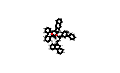 c1ccc2cc3c(cc2c1)c1ccccc1n3-c1cc2oc3ccccc3c2cc1-c1nc(-c2cc3ccccc3c3ccccc23)nc(-c2cc3ccccc3c3ccccc23)n1